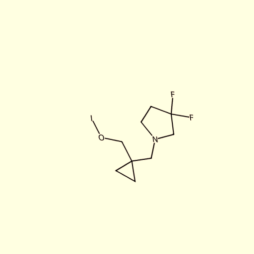 FC1(F)CCN(CC2(COI)CC2)C1